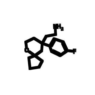 NCCC1(c2ccc(F)cc2)CCOC2(CCCC2)C1